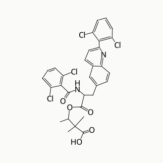 CC(OC(=O)C(Cc1ccc2nc(-c3c(Cl)cccc3Cl)ccc2c1)NC(=O)c1c(Cl)cccc1Cl)C(C)(C)C(=O)O